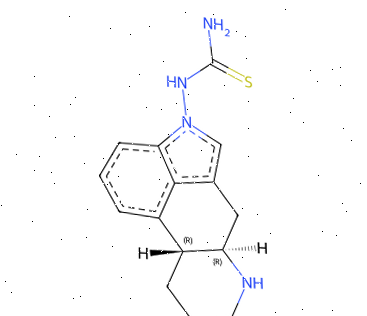 NC(=S)Nn1cc2c3c(cccc31)[C@H]1CCCN[C@@H]1C2